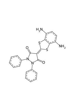 Nc1ccc(N)c2c1SC(=C1C(=O)N(c3ccccc3)N(c3ccccc3)C1=O)S2